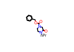 CCCN1CCN(C(=O)OCc2ccccc2)CC1=O